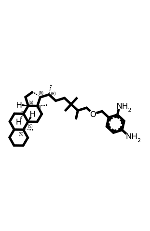 CC(COCc1ccc(N)cc1N)C(C)(C)CC[C@@H](C)[C@H]1CC[C@H]2[C@@H]3CCC4CCCC[C@]4(C)[C@H]3CC[C@]12C